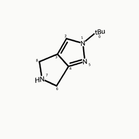 CC(C)(C)n1cc2c(n1)CNC2